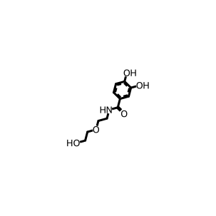 O=C(NCCOCCO)c1ccc(O)c(O)c1